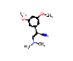 COc1cc(OC)cc(C(C#N)=CN(C)C)c1